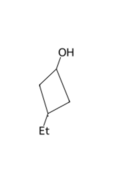 CC[C]1CC(O)C1